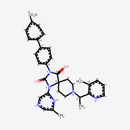 Cc1cncc(N2C(=O)N(c3ccc(-c4ccc(C(=O)O)cc4)cc3)C(=O)C23CCN(C(C)c2ncccc2C)CC3)n1